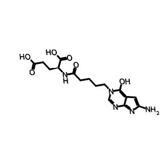 Nc1cc2c(O)n(CCCCC(=O)N[C@@H](CCC(=O)O)C(=O)O)cnc-2n1